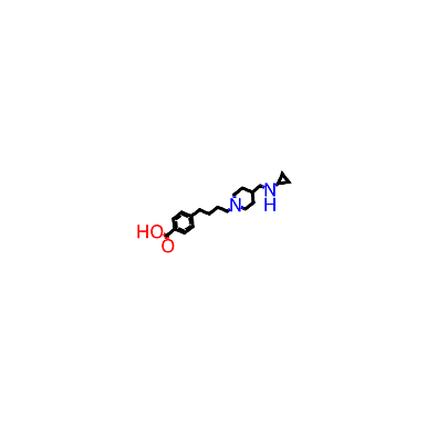 O=C(O)c1ccc(CCCCN2CCC(CNC3CC3)CC2)cc1